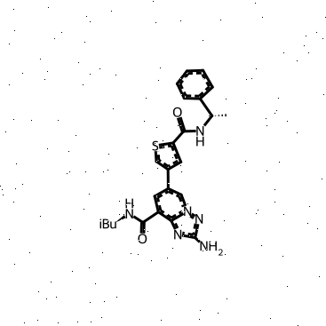 CC[C@H](C)NC(=O)c1cc(-c2csc(C(=O)N[C@@H](C)c3ccccc3)c2)cn2nc(N)nc12